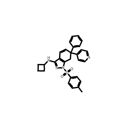 Cc1ccc(S(=O)(=O)n2nc(NC3CCC3)c3c2CC(c2ccccc2)(c2ccncc2)C=C3)cc1